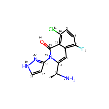 C[C@H](N)c1cc2c(F)ccc(Cl)c2c(=O)n1-c1cc[nH]n1